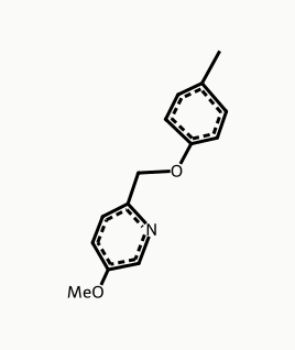 COc1ccc(COc2ccc(C)cc2)nc1